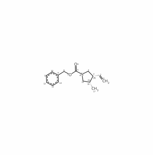 C=C[C@H]1CN(C(=O)OCc2ccccc2)C[C@H]1C